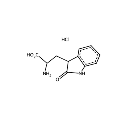 Cl.NC(CC1C(=O)Nc2ccccc21)C(=O)O